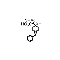 CC(=O)NC(C(=O)O)C1(S)CCN(Cc2ccccc2)CC1